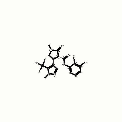 CN1C[C@H](c2cnn(C)c2C(F)(F)F)[C@@H](C(=O)Nc2cccc(F)c2F)C1=S